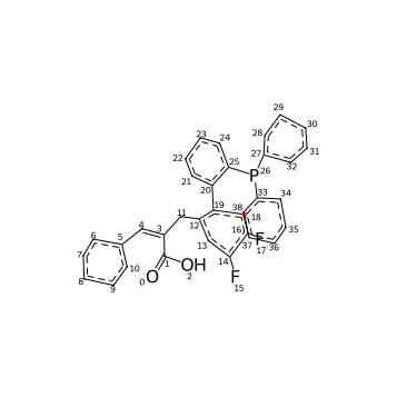 O=C(O)C(=Cc1ccccc1)Cc1cc(F)c(F)cc1-c1ccccc1P(c1ccccc1)c1ccccc1